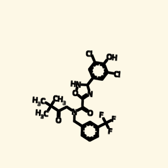 CC(C)(C)C(=O)CN(Cc1cccc(C(F)(F)F)c1)C(=O)C1=NC(c2cc(Cl)c(O)c(Cl)c2)NO1